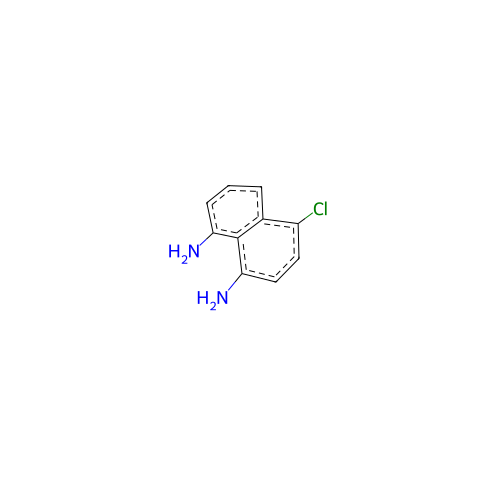 Nc1cccc2c(Cl)ccc(N)c12